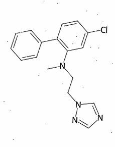 CN(CCn1cncn1)c1cc(Cl)ccc1-c1ccccc1